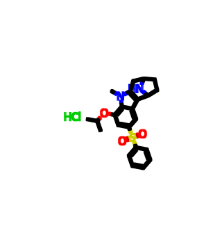 CC(C)Oc1cc(S(=O)(=O)c2ccccc2)cc2c3c(n(C)c12)CC1CCC3N1.Cl